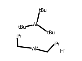 CC(C)[CH2][Al+][CH2]C(C)C.C[C](C)(C)[Al]([C](C)(C)C)[C](C)(C)C.[H-]